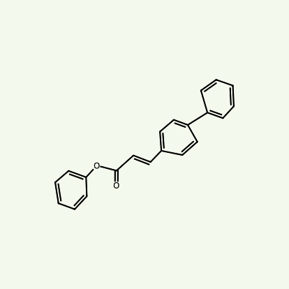 O=C(/C=C/c1ccc(-c2ccccc2)cc1)Oc1ccccc1